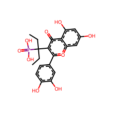 CCC(CC)(c1c(-c2ccc(O)c(O)c2)oc2cc(O)cc(O)c2c1=O)P(=O)(O)O